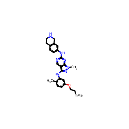 COCCOc1ccc(C)c(Nc2nn(C)c3nc(Nc4ccc5c(c4)CNCC5)ncc23)c1